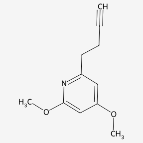 C#CCCc1cc(OC)cc(OC)n1